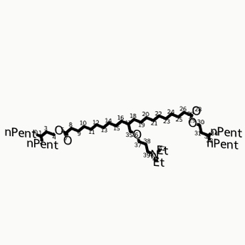 CCCCCC(CCCCC)CCOC(=O)CCCCCCCCCC(CCCCCCCCCC(=O)OCCC(CCCCC)CCCCC)COCCCN(CC)CC